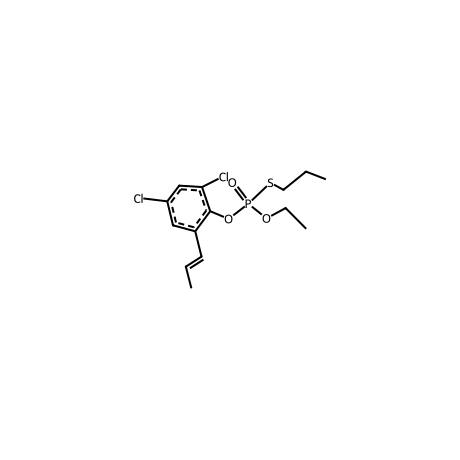 CC=Cc1cc(Cl)cc(Cl)c1OP(=O)(OCC)SCCC